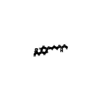 CSNSCCCSN1CCN(CC(C)=O)CC1